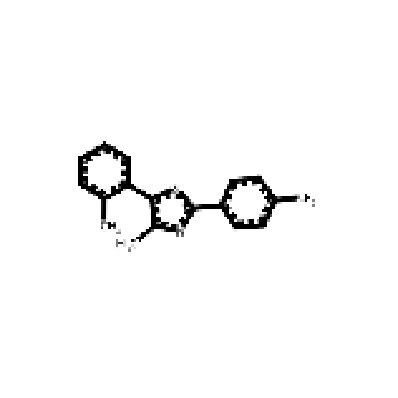 Cc1ccccc1-c1sc(-c2ccc(C(F)(F)F)cc2)nc1C